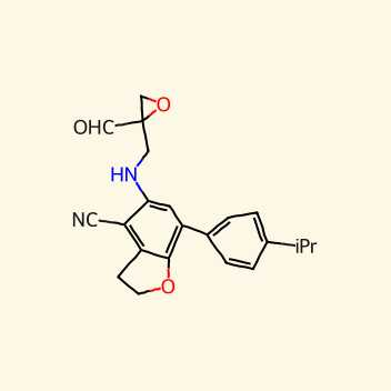 CC(C)c1ccc(-c2cc(NCC3(C=O)CO3)c(C#N)c3c2OCC3)cc1